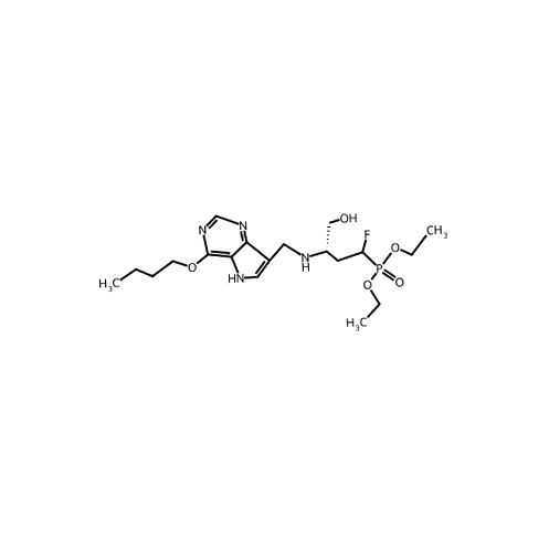 CCCCOc1ncnc2c(CN[C@H](CO)CC(F)P(=O)(OCC)OCC)c[nH]c12